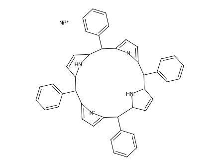 C1=CC2NC1C(c1ccccc1)c1ccc([n-]1)C(c1ccccc1)C1C=CC(N1)C(c1ccccc1)c1ccc([n-]1)C2c1ccccc1.[Ni+2]